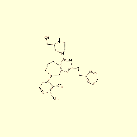 Cc1cccc(N2CCCc3c(nc(OCc4ncccn4)nc3N3CCNC(CC#N)C3)C2)c1C(F)(F)F